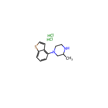 CC1CN(c2cccc3sccc23)CCN1.Cl.Cl